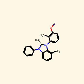 Cc1cccc2c1N(c1cccc(OI)c1C)[C@@H](C)N2c1ccccc1